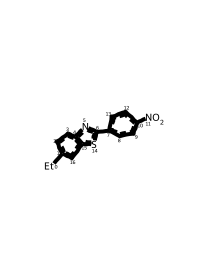 CCc1ccc2nc(-c3ccc([N+](=O)[O-])cc3)sc2c1